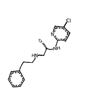 O=C(CNCCc1ccccc1)Nc1ccc(Cl)cn1